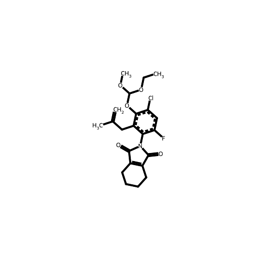 C=C(C)Cc1c(OC(OC)OCC)c(Cl)cc(F)c1N1C(=O)C2=C(CCCC2)C1=O